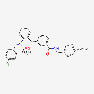 CCCCCc1ccc(CNC(=O)c2cccc(Cc3ccccc3N(Cc3ccc(Cl)cc3)C(=O)C(=O)O)c2)cc1